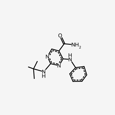 CC(C)(C)Nc1ncc(C(N)=O)c(Nc2ccccc2)n1